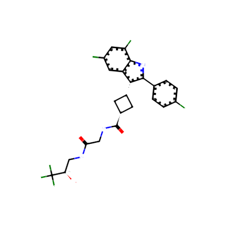 O=C(CNC(=O)[C@H]1C[C@H](c2c(-c3ccc(F)cc3)[nH]c3c(F)cc(F)cc32)C1)NC[C@@H](O)C(F)(F)F